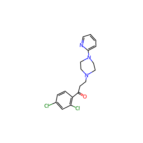 O=C(CCN1CCN(c2ccccn2)CC1)c1ccc(Cl)cc1Cl